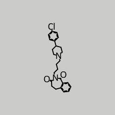 O=C1CCc2ccccc2C(=O)N1CCCCN1CCC(c2ccc(Cl)cc2)CC1